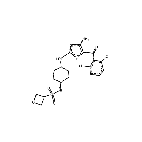 Nc1nc(N[C@H]2CC[C@H](NS(=O)(=O)C3COC3)CC2)sc1C(=O)c1c(Cl)cccc1Cl